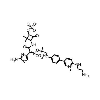 C[n+]1cc(-c2ccc(OC[C@](C)(O/N=C(\C(=O)N[C@@H]3C(=O)N(OS(=O)(=O)[O-])C3(C)C)c3csc(N)n3)C(=O)O)cc2)ccc1NCCN